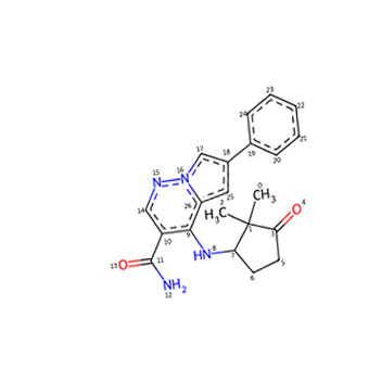 CC1(C)C(=O)CCC1Nc1c(C(N)=O)cnn2cc(-c3ccccc3)cc12